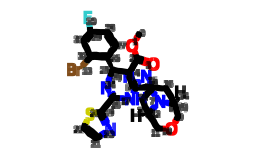 COC(=O)C1=C(CN2[C@@H]3COC[C@H]2C[C@@H](N)C3)NC(c2nccs2)=N[C@H]1c1ccc(F)cc1Br